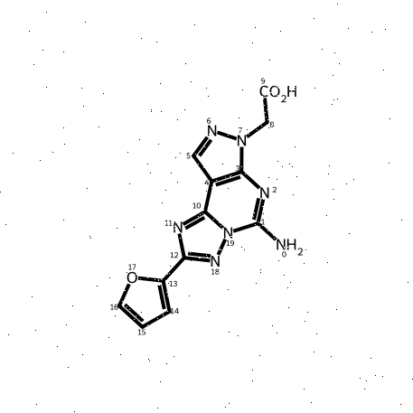 Nc1nc2c(cnn2CC(=O)O)c2nc(-c3ccco3)nn12